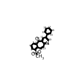 CS(=O)(=O)c1cccc2c(=O)c3cc(-c4ccccc4)cnc3ccc12